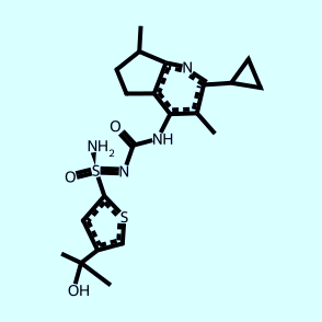 Cc1c(C2CC2)nc2c(c1NC(=O)N=[S@@](N)(=O)c1cc(C(C)(C)O)cs1)CCC2C